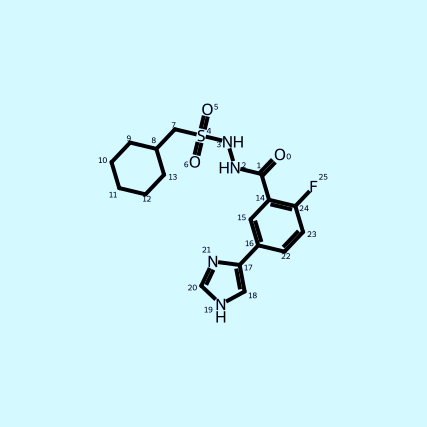 O=C(NNS(=O)(=O)CC1CCCCC1)c1cc(-c2c[nH]cn2)ccc1F